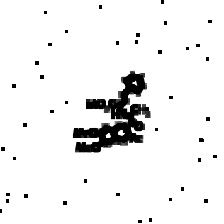 CCOC(=O)[C@H](CCc1ccccc1)N[C@@H](C)C(=O)N1Cc2cc(OC)c(OC)cc2CC1C(C)=O